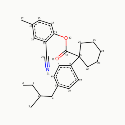 CCC(C)Cc1ccc(C2(C(=O)Oc3ccc(C)cc3C#N)CCCCC2)cc1